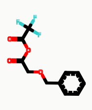 O=C(COCc1ccccc1)OC(=O)C(F)(F)F